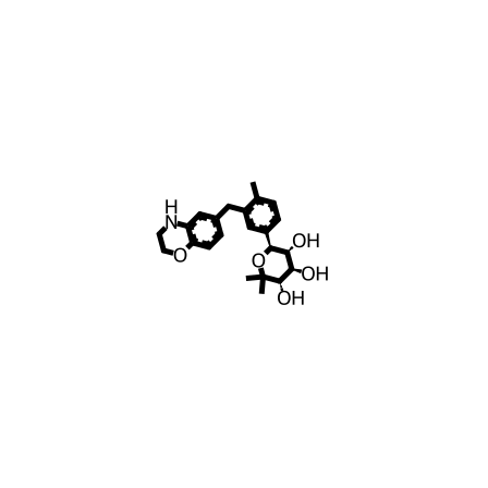 Cc1ccc([C@@H]2OC(C)(C)[C@@H](O)[C@H](O)[C@H]2O)cc1Cc1ccc2c(c1)NCCO2